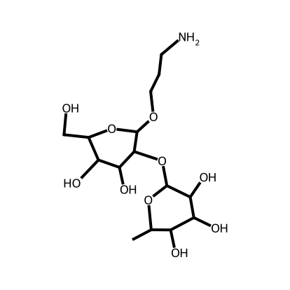 CC1OC(OC2C(OCCCN)OC(CO)C(O)C2O)C(O)C(O)C1O